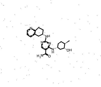 C[C@@H]1CC[C@@H](Nc2nc(N[C@H]3CCc4ncccc4C3)ncc2C(N)=O)C[C@H]1O